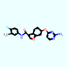 Nc1nccc(Oc2ccc3c(C(=O)Nc4ccc(F)c(C(F)(F)F)c4)coc3c2)n1